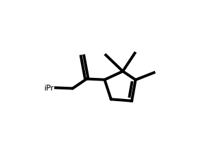 C=C(CC(C)C)C1CC=C(C)C1(C)C